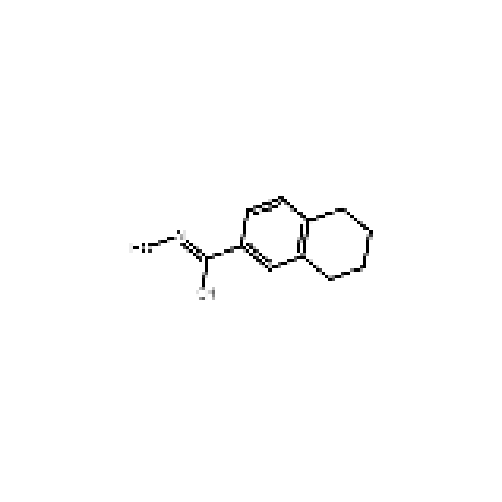 C/C(=N\O)c1ccc2c(c1)CCCC2